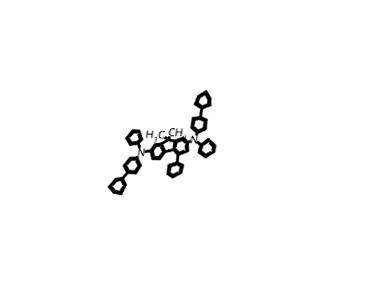 CC1(C)c2cc(N(c3ccccc3)c3ccc(-c4ccccc4)cc3)ccc2-c2c(-c3ccccc3)cc(N(c3ccccc3)c3ccc(-c4ccccc4)cc3)cc21